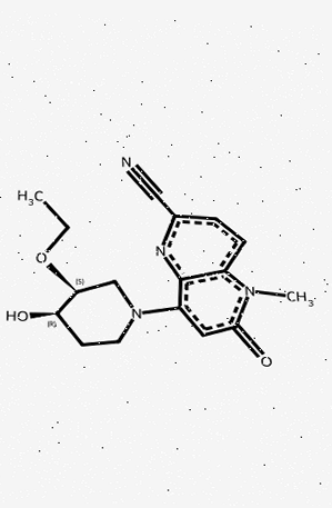 CCO[C@H]1CN(c2cc(=O)n(C)c3ccc(C#N)nc23)CC[C@H]1O